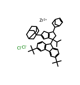 CC(C)C1(C2c3ccc(C(C)(C)C)cc3-c3cc(C(C)(C)C)ccc32)CC(C2CC3C=CC2C3)C2=C1C=C(C13CC4CC(CC(C4)C1)C3)C2.[Cl-].[Cl-].[Zr+2]